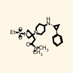 CCS(=O)(=O)N1CC(CC(=O)N(C)C)(N2CCC(N[C@@H]3C[C@H]3c3ccccc3)CC2)C1